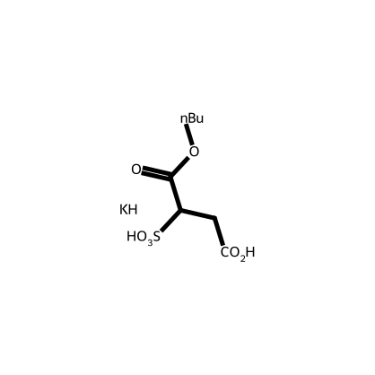 CCCCOC(=O)C(CC(=O)O)S(=O)(=O)O.[KH]